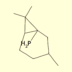 CC1CCC2C(C)(C)C2(P)C1